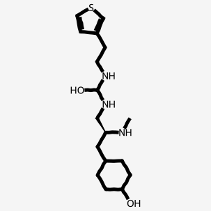 CN[C@H](CNC(O)NCCc1ccsc1)CC1CCC(O)CC1